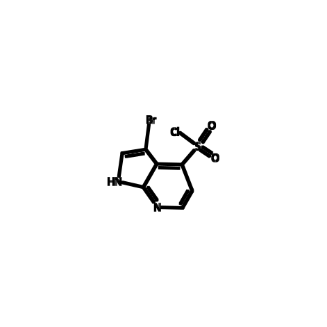 O=S(=O)(Cl)c1ccnc2[nH]cc(Br)c12